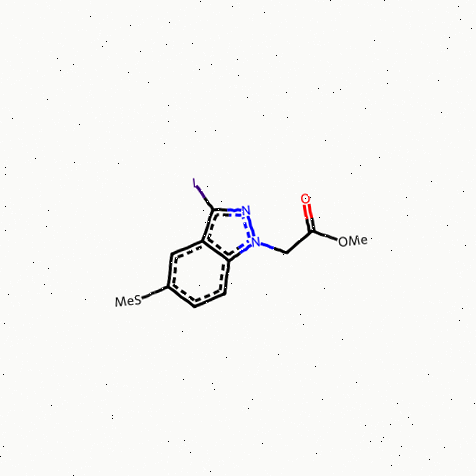 COC(=O)Cn1nc(I)c2cc(SC)ccc21